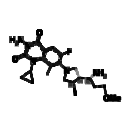 COCC[C@@H](N)[C@H]1CN(c2c(F)cc3c(=O)n(N)c(=O)n(C4CC4)c3c2C)C[C@@H]1C